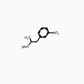 CSC(C)Cc1cccc([N+](=O)[O-])c1